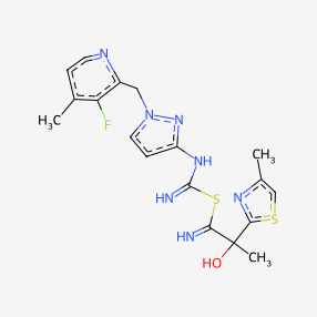 Cc1csc(C(C)(O)C(=N)SC(=N)Nc2ccn(Cc3nccc(C)c3F)n2)n1